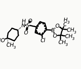 CC1(C)OB(c2ccc(S(=O)(=O)N[C@H]3CC[C@](C)(O)CC3)cc2Cl)OC1(C)C